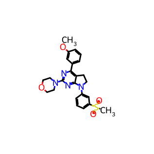 COc1cccc(-c2nc(N3CCOCC3)nc3c2CCN3c2cccc(S(C)(=O)=O)c2)c1